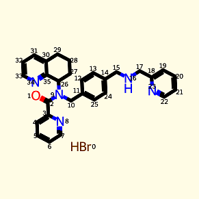 Br.O=C(c1ccccn1)N(Cc1ccc(CNCc2ccccn2)cc1)C1CCCc2cccnc21